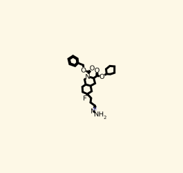 N/N=C/CCC1(F)CCC2CN(C(=O)OCc3ccccc3)C(C(=O)OC3CCCCC3)CC2C1